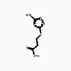 COC(=O)CCSc1nnc(N)s1